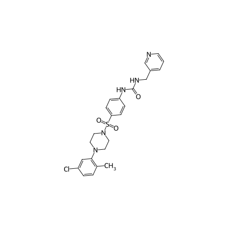 Cc1ccc(Cl)cc1N1CCN(S(=O)(=O)c2ccc(NC(=O)NCc3cccnc3)cc2)CC1